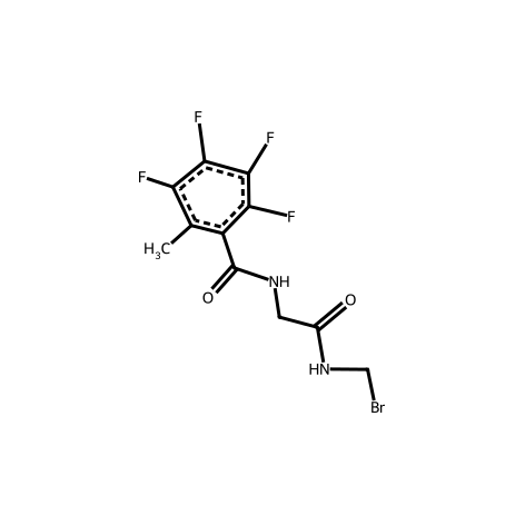 Cc1c(F)c(F)c(F)c(F)c1C(=O)NCC(=O)NCBr